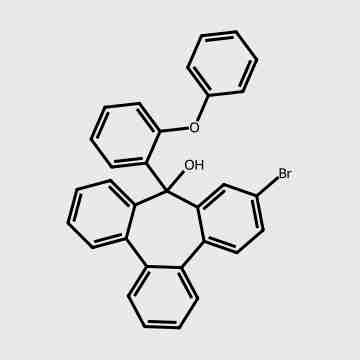 OC1(c2ccccc2Oc2ccccc2)c2ccccc2-c2ccccc2-c2ccc(Br)cc21